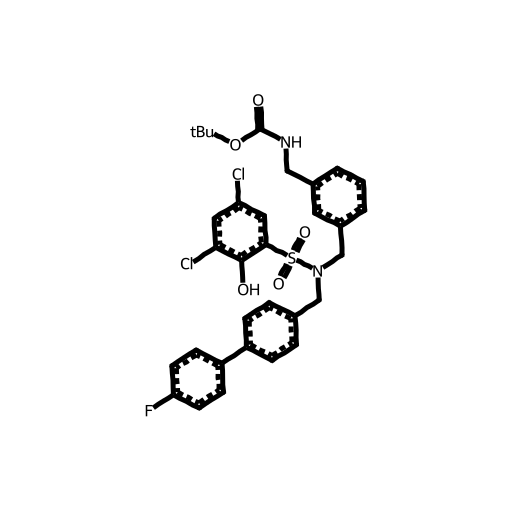 CC(C)(C)OC(=O)NCc1cccc(CN(Cc2ccc(-c3ccc(F)cc3)cc2)S(=O)(=O)c2cc(Cl)cc(Cl)c2O)c1